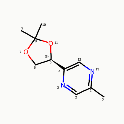 Cc1cnc([C@H]2COC(C)(C)O2)cn1